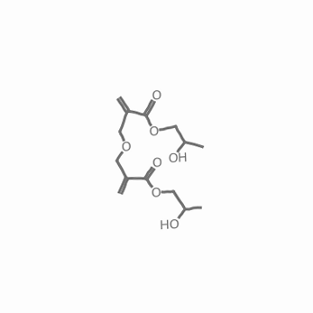 C=C(COCC(=C)C(=O)OCC(C)O)C(=O)OCC(C)O